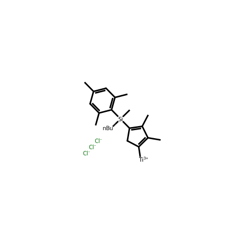 CCCC[Si](C)(C1=C(C)C(C)=[C]([Ti+3])C1)c1c(C)cc(C)cc1C.[Cl-].[Cl-].[Cl-]